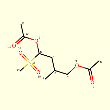 CC(=O)OCC(C)CC(OC(C)=O)S(C)(=O)=O